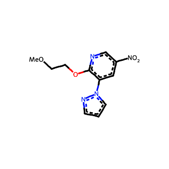 COCCOc1ncc([N+](=O)[O-])cc1-n1cccn1